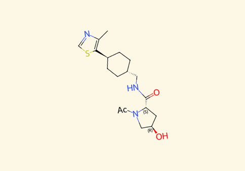 CC(=O)N1C[C@H](O)C[C@H]1C(=O)NC[C@H]1CC[C@H](c2scnc2C)CC1